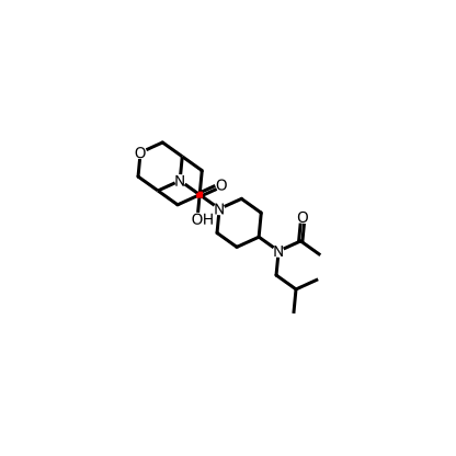 CC(=O)N(CC(C)C)C1CCN(C2CC3COCC(C2)N3C(=O)O)CC1